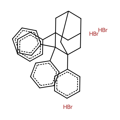 Br.Br.Br.c1ccc(C23CC4CC(C2)CC(c2ccccc2)(C4)C3(c2ccccc2)c2ccccc2)cc1